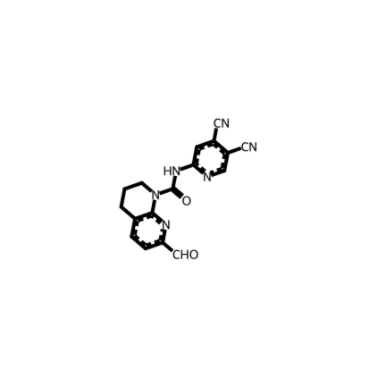 N#Cc1cnc(NC(=O)N2CCCc3ccc(C=O)nc32)cc1C#N